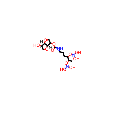 CC(ON(O)O)C(CCCNC(=O)O[C@@H]1CO[C@H]2[C@@H]1OC[C@H]2O)ON(O)O